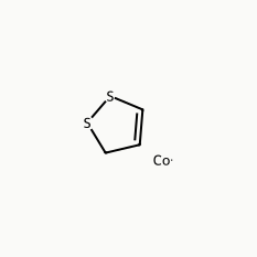 C1=CSSC1.[Co]